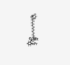 CCCc1ccccc1C(=O)O[S+](CC)CCCCCCCCCCCCCC1CCCCO1